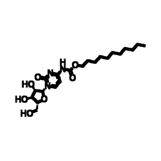 CCCCCCCCCCCOC(=O)Nc1ccn([C@@H]2O[C@H](CO)[C@@H](O)[C@@H]2O)c(=O)n1